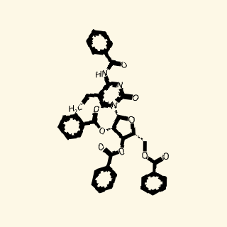 C=Cc1cn([C@@H]2O[C@H](COC(=O)c3ccccc3)C(OC(=O)c3ccccc3)[C@@H]2OC(=O)c2ccccc2)c(=O)nc1NC(=O)c1ccccc1